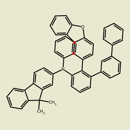 CC1(C)c2ccccc2-c2ccc(N(c3ccccc3)c3cccc(-c4cccc(-c5ccccc5)c4)c3-c3ccc4oc5ccccc5c4c3)cc21